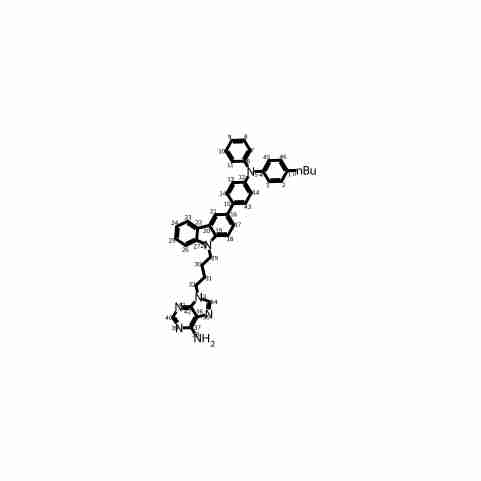 CCCCc1ccc(N(c2ccccc2)c2ccc(-c3ccc4c(c3)c3ccccc3n4CCCCn3cnc4c(N)ncnc43)cc2)cc1